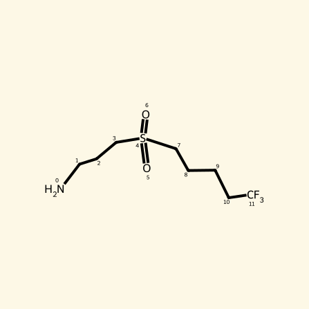 NCCCS(=O)(=O)CCCCC(F)(F)F